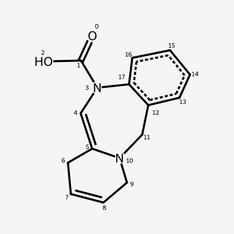 O=C(O)N1C=C2CC=CCN2Cc2ccccc21